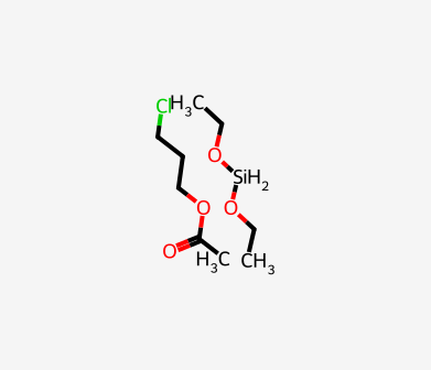 CC(=O)OCCCCl.CCO[SiH2]OCC